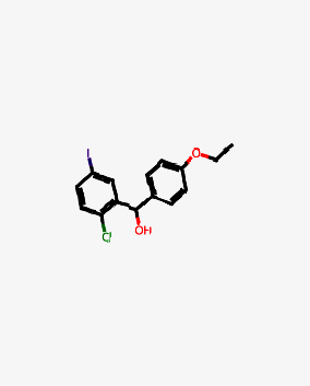 CCOc1ccc(C(O)c2cc(I)ccc2Cl)cc1